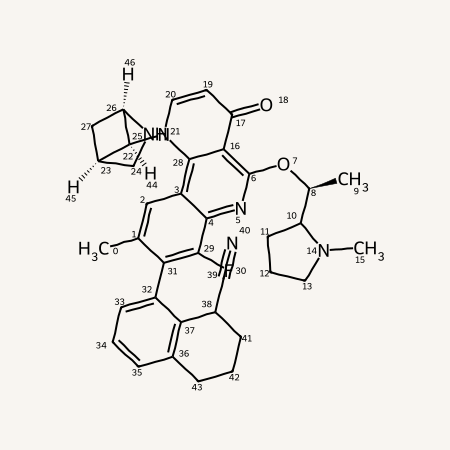 Cc1cc2c(nc(O[C@@H](C)C3CCCN3C)c3c(=O)ccn([C@H]4[C@H]5CN[C@@H]4C5)c32)c(F)c1-c1cccc2c1C(C#N)CCC2